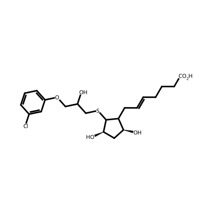 O=C(O)CCCC=CCC1C(SCC(O)COc2cccc(Cl)c2)[C@H](O)C[C@@H]1O